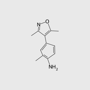 Cc1cc(-c2c(C)noc2C)ccc1N